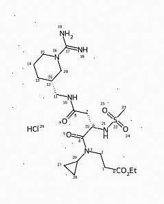 CCOC(=O)CCN(C(=O)[C@H](CC(=O)NC[C@@H]1CCCN(C(=N)N)C1)NS(C)(=O)=O)C1CC1.Cl